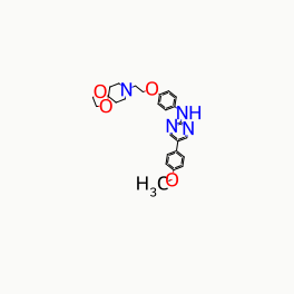 COc1ccc(-c2cnc(Nc3ccc(OCCN4CCC5(CC4)OCCO5)cc3)nc2)cc1